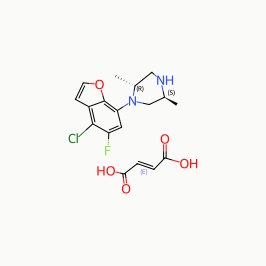 C[C@@H]1CN[C@@H](C)CN1c1cc(F)c(Cl)c2ccoc12.O=C(O)/C=C/C(=O)O